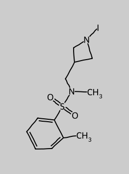 Cc1ccccc1S(=O)(=O)N(C)CC1CN(I)C1